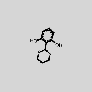 Oc1cccc(O)c1C1SCCCS1